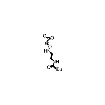 CCC(C)C(=O)NCCNOO[SH](=O)=O